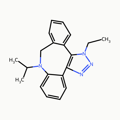 CCn1nnc2c1-c1ccccc1CN(C(C)C)c1ccccc1-2